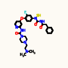 CN(C)CCN1CCN(C(=O)Nc2cc(Oc3ccc(N(S)C(=O)NC(=O)Cc4ccccc4)cc3F)ccn2)CC1